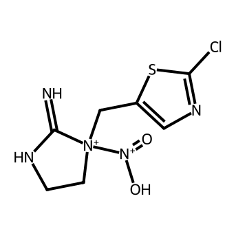 N=C1NCC[N+]1(Cc1cnc(Cl)s1)[N+](=O)O